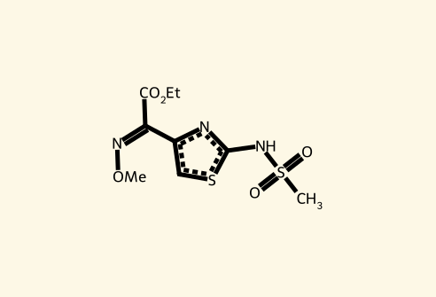 CCOC(=O)/C(=N/OC)c1csc(NS(C)(=O)=O)n1